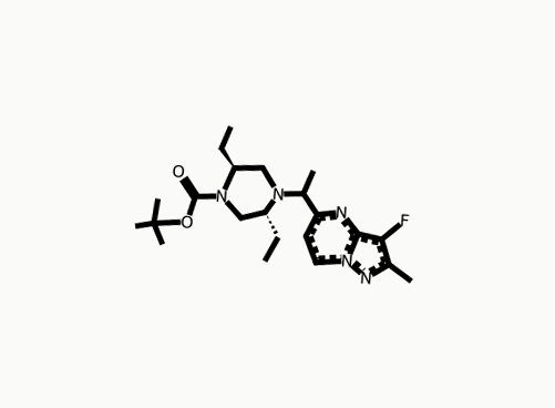 CC[C@H]1CN(C(C)c2ccn3nc(C)c(F)c3n2)[C@H](CC)CN1C(=O)OC(C)(C)C